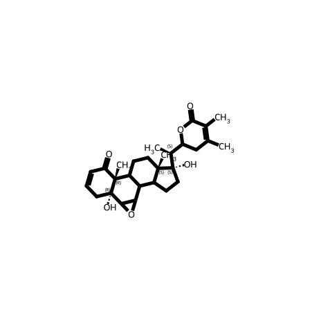 CC1=C(C)C(=O)OC([C@H](C)[C@@]2(O)CCC3C4C5OC5[C@@]5(O)CC=CC(=O)[C@]5(C)C4CC[C@@]32C)C1